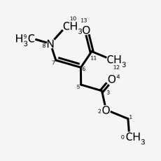 CCOC(=O)C/C(=C/N(C)C)C(C)=O